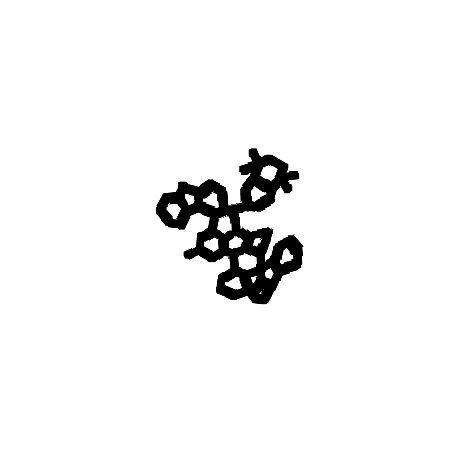 Cc1cc2c3c(c1)N1c4ccccc4C4(c5ccccc5-c5ccccc54)c4cccc(c41)B3N(c1ccc3c(c1)C(C)(C)CCC3(C)C)c1ccc3oc4ccccc4c3c1-2